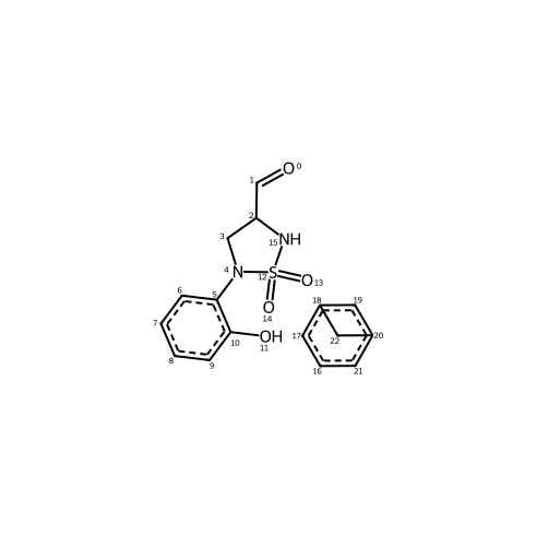 O=CC1CN(c2ccccc2O)S(=O)(=O)N1.c1cc2cc(c1)C2